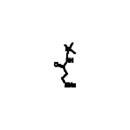 CSCCC(=O)NC[Si](C)(C)C